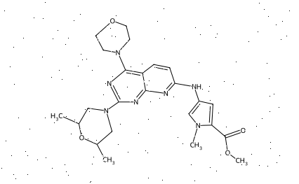 COC(=O)c1cc(Nc2ccc3c(N4CCOCC4)nc(N4CC(C)OC(C)C4)nc3n2)cn1C